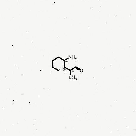 C[C@H](C=O)[C@@H]1CCCC[C@H]1N